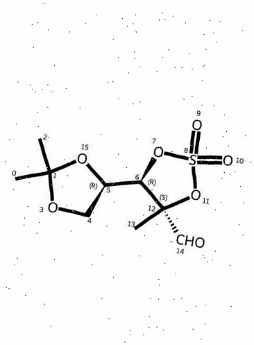 CC1(C)OC[C@H]([C@H]2OS(=O)(=O)O[C@]2(C)C=O)O1